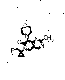 Cc1ncc2cn(C3(CF)CC3)c(=O)c(N3CCOCC3)c2n1